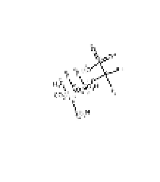 CC(=O)O.O=S(=O)(O)C(F)(F)F.O=S(=O)(O)F.O=S(=O)(O)F.O=S(=O)(O)F